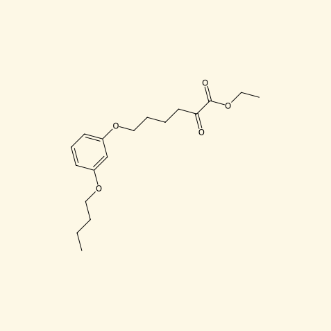 CCCCOc1cccc(OCCCCC(=O)C(=O)OCC)c1